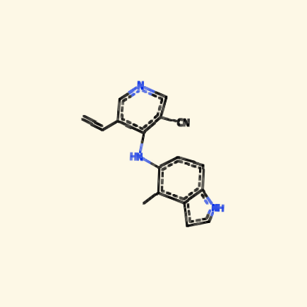 C=Cc1cncc(C#N)c1Nc1ccc2[nH]ccc2c1C